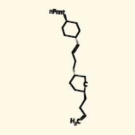 C=CCC[C@H]1CC[C@H](CCC=C[C@H]2CC[C@H](CCCCC)CC2)CC1